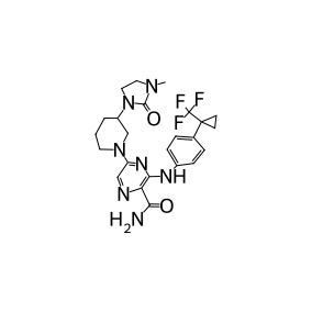 CN1CCN(C2CCCN(c3cnc(C(N)=O)c(Nc4ccc(C5(C(F)(F)F)CC5)cc4)n3)C2)C1=O